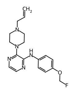 C=CCN1CCN(c2nccnc2Nc2ccc(OCF)cc2)CC1